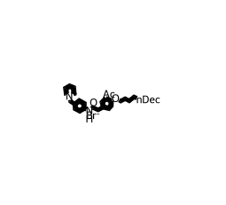 CCCCCCCCCCCCCCOc1ccc(CC(=O)Nc2ccc(C[n+]3ccccc3)cc2)cc1C(C)=O.[Br-]